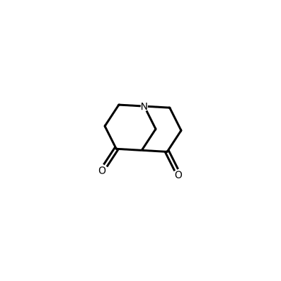 O=C1CCN2CCC(=O)C1C2